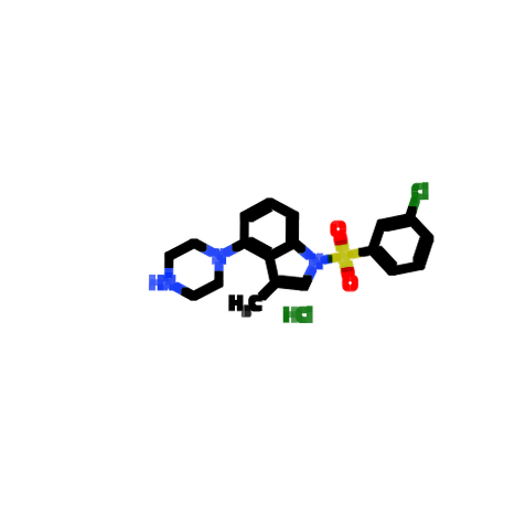 Cc1cn(S(=O)(=O)c2cccc(Cl)c2)c2cccc(N3CCNCC3)c12.Cl